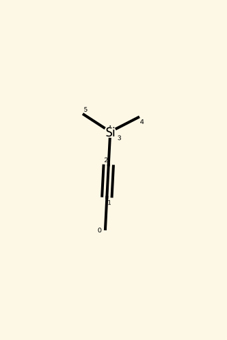 CC#C[Si](C)C